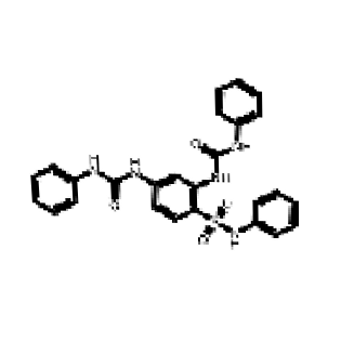 O=C(Nc1ccccc1)Nc1ccc(S(=O)(=O)Nc2ccccc2)c(NC(=O)Nc2ccccc2)c1